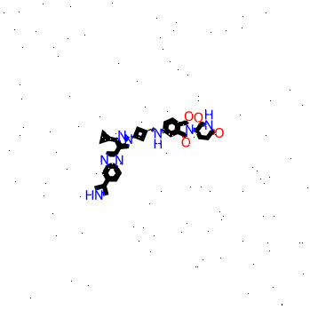 O=C1CCC(N2C(=O)c3ccc(NC[C@H]4C[C@H](n5cc(-c6cnc7cc(C8CNC8)ccc7n6)c(C6CC6)n5)C4)cc3C2=O)C(=O)N1